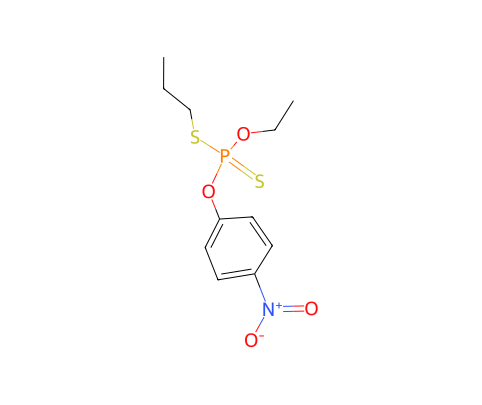 CCCSP(=S)(OCC)Oc1ccc([N+](=O)[O-])cc1